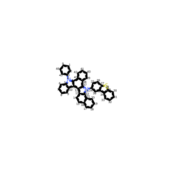 c1ccc(-n2c3ccccc3c3c4c5ccc6ccccc6c5n(-c5ccc6sc7ccccc7c6c5)c4c4ccccc4c32)cc1